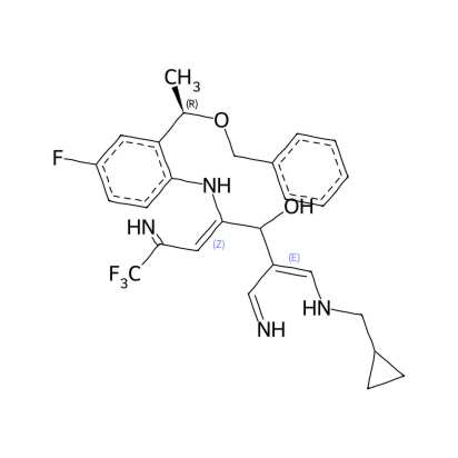 C[C@@H](OCc1ccccc1)c1cc(F)ccc1N/C(=C\C(=N)C(F)(F)F)C(O)/C(C=N)=C/NCC1CC1